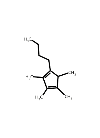 CCCCC1=C(C)C(C)=C(C)C1C